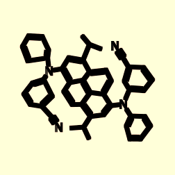 CC(C)c1cc(N(c2ccccc2)c2cccc(C#N)c2)c2ccc3c(C(C)C)cc(N(c4ccccc4)c4cccc(C#N)c4)c4ccc1c2c34